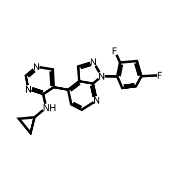 Fc1ccc(-n2ncc3c(-c4cncnc4NC4CC4)ccnc32)c(F)c1